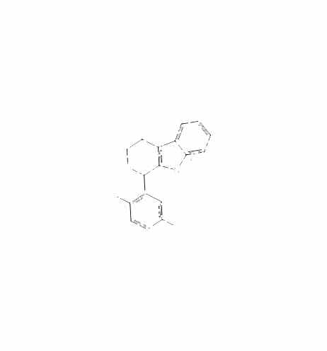 Fc1ccc(F)c(C2OCCc3c2[nH]c2ccccc32)c1